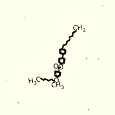 C=CCCCCCCCc1ccc(-c2ccc(OC(=O)c3ccc(O[C@@H](C)CCCCCC)cc3)cc2)cc1